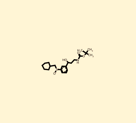 CC(C)(C)OC(=O)NCCC(O)c1cccc([S+]([O-])CC2CCCCC2)c1